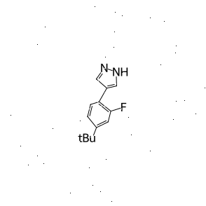 CC(C)(C)c1ccc(-c2cn[nH]c2)c(F)c1